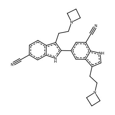 N#Cc1ccc2c(CCN3CCC3)c(-c3cc(C#N)c4[nH]cc(CCN5CCC5)c4c3)[nH]c2c1